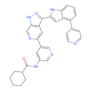 O=C(Nc1cncc(-c2cc3c(-c4cc5c(-c6ccncc6)cccc5[nH]4)n[nH]c3cn2)c1)C1CCCCC1